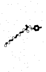 C=C(OSc1ccc(C)cc1)C(=O)OCCOCCOCCOC=O